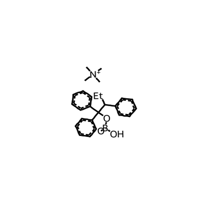 CCC(c1ccccc1)C(OB([O-])O)(c1ccccc1)c1ccccc1.C[N+](C)(C)C